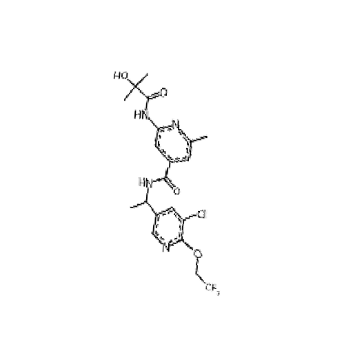 Cc1cc(C(=O)NC(C)c2cnc(OCC(F)(F)F)c(Cl)c2)cc(NC(=O)C(C)(C)O)n1